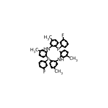 Cc1ccc2c(c1)Nc1cc(C)ccc1P(c1cccc(F)c1)c1ccc(C)cc1Nc1cc(C)ccc1P2c1cccc(F)c1